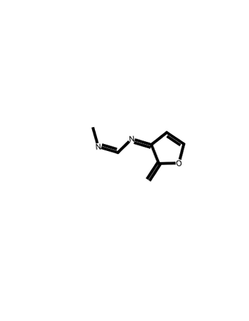 C=C1OC=C/C1=N/C=N\C